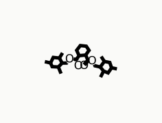 CC1CC(C)C(COC(=O)C2CCCCC2C(=O)OCC2C(C)CC(C)CC2C)C(C)C1